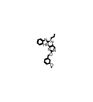 CCCS/C(=N/c1ccccc1)Nc1nc(OCC2=CC=CC(OC)C2)ncc1F